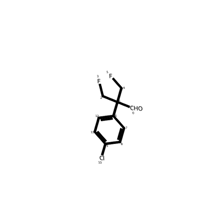 O=CC(CF)(CF)c1ccc(Cl)cc1